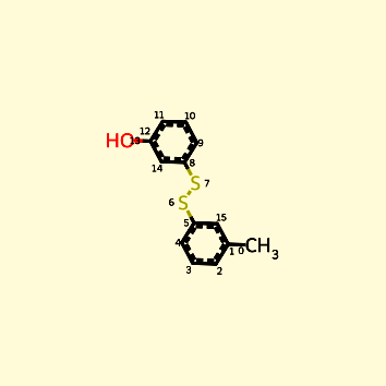 Cc1cccc(SSc2cccc(O)c2)c1